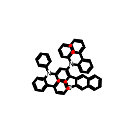 c1ccc(-c2ccccc2N(c2ccccc2)c2cc(N(c3ccccc3)c3ccccc3-c3ccccc3)c3c(c2)oc2cc4ccccc4cc23)cc1